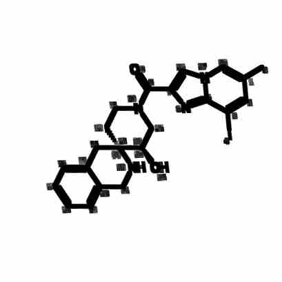 Cc1cc(I)c2nc(C(=O)N3CC[C@]4(Cc5ccccc5CN4)[C@H](O)C3)cn2c1